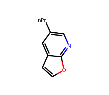 CCCc1cnc2occc2c1